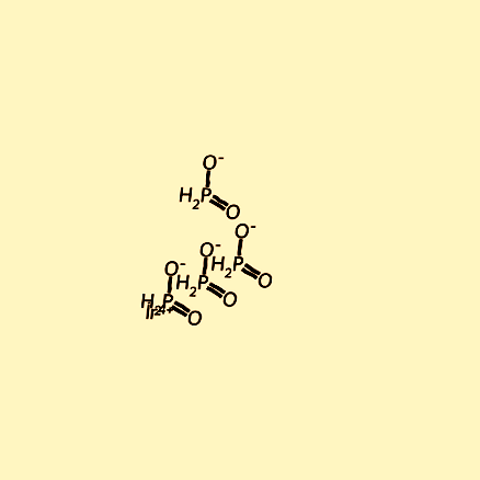 O=[PH2][O-].O=[PH2][O-].O=[PH2][O-].O=[PH2][O-].[Ir+4]